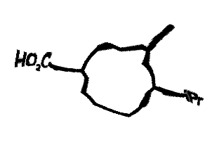 CC(C)C1CCC(C(=O)O)CC1C